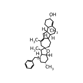 CC1=C2C[C@H]3[C@@H](CCC4=C[C@@H](O)CC[C@@]43C)[C@@H]2CC[C@@]2(C1)O[C@@H]1C[C@H](C)CN(Cc3ccccc3)[C@H]1[C@H]2C